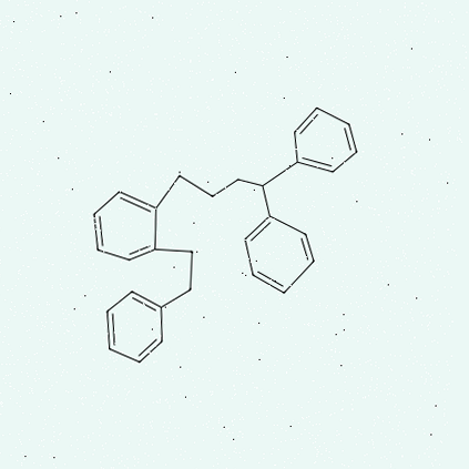 [CH](CCC(c1ccccc1)c1ccccc1)c1ccccc1CCc1ccccc1